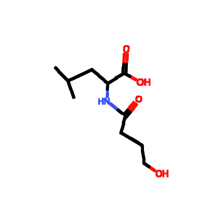 CC(C)CC(NC(=O)CCCO)C(=O)O